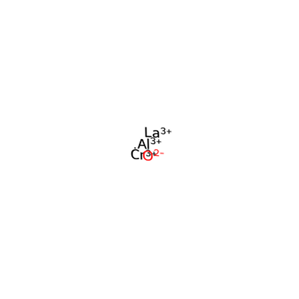 [Al+3].[Cr+3].[La+3].[O-2]